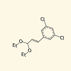 CCOC(C=Cc1cc(Cl)cc(Cl)c1)OCC